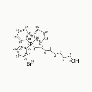 OCCCCCCCC[P+](c1ccccc1)(c1ccccc1)c1ccccc1.[Br-]